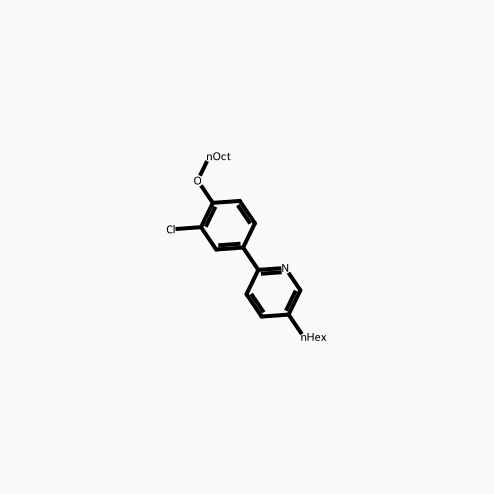 CCCCCCCCOc1ccc(-c2ccc(CCCCCC)cn2)cc1Cl